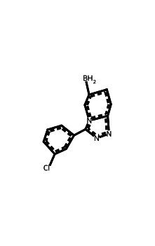 Bc1ccc2nnc(-c3cccc(Cl)c3)n2c1